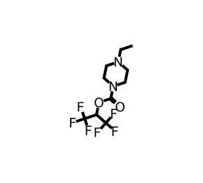 CCN1CCN(C(=O)OC(C(F)(F)F)C(F)(F)F)CC1